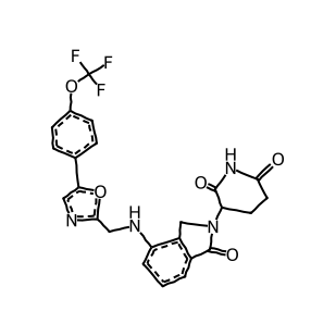 O=C1CCC(N2Cc3c(NCc4ncc(-c5ccc(OC(F)(F)F)cc5)o4)cccc3C2=O)C(=O)N1